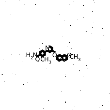 COc1ccc2ccc(OCc3ccnc(-c4ccc(C(N)=O)c(C)c4)c3)cc2c1